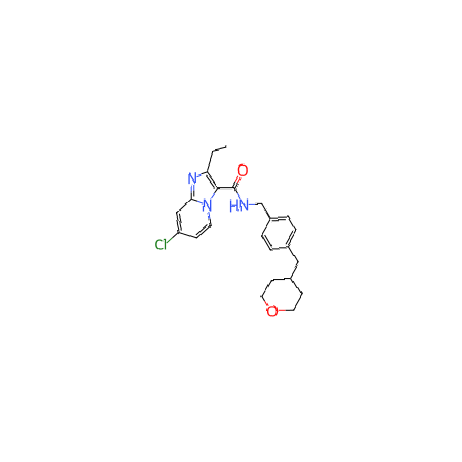 CCc1nc2cc(Cl)ccn2c1C(=O)NCc1ccc(CC2CCOCC2)cc1